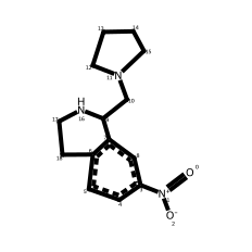 O=[N+]([O-])c1ccc2c(c1)C(CN1CCCC1)NCC2